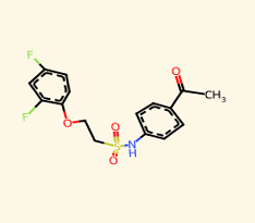 CC(=O)c1ccc(NS(=O)(=O)CCOc2ccc(F)cc2F)cc1